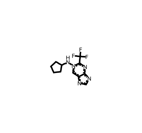 FC(F)(F)c1nc2ncnc-2cn1NC1CCCC1